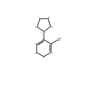 ClC1=C[CH]CC=C1N1CCCC1